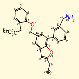 CCOC(=O)Cc1ccccc1OCc1cc(-c2cccc(CN)c2)c2oc(CC(C)C)cc2c1